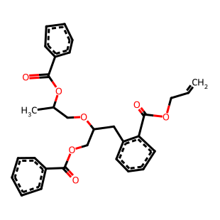 C=CCOC(=O)c1ccccc1CC(COC(=O)c1ccccc1)OCC(C)OC(=O)c1ccccc1